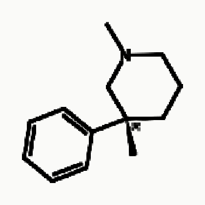 CN1CCC[C@](C)(c2ccccc2)C1